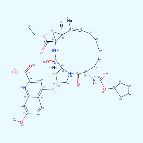 CCOC(=O)[C@@]12C[C@H]1/[C]([Na])=C\CCCCC[C@H](NC(=O)OC1CCCC1)C(=O)N1C[C@H](Oc3cc(C(=O)O)nc4cc(OC)ccc34)C[C@H]1C(=O)N2